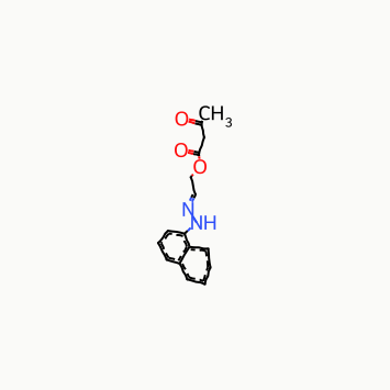 CC(=O)CC(=O)OCC=NNc1cccc2ccccc12